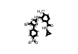 Cc1ccc(C(=O)NC2CC2)cc1Nc1nc(-c2ccc([N+](=O)[O-])cc2)c(Br)s1